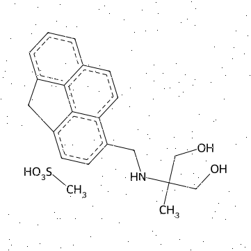 CC(CO)(CO)NCc1ccc2c3c1ccc1cccc(c13)C2.CS(=O)(=O)O